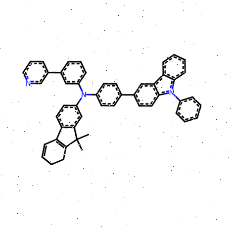 CC1(C)C2=C(C=CCC2)c2ccc(N(c3ccc(-c4ccc5c(c4)c4ccccc4n5-c4ccccc4)cc3)c3cccc(-c4cccnc4)c3)cc21